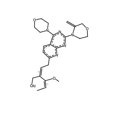 C=C1COCCN1c1nc(N2CCOCC2)c2ccc(C/C=C(CO)\C(=C/C)OC)nc2n1